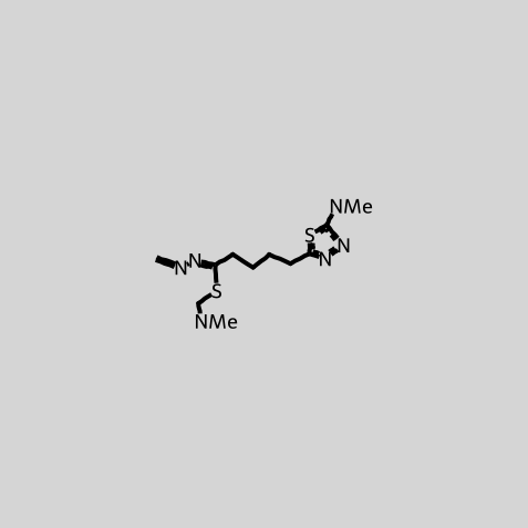 C=N/N=C(/CCCCc1nnc(NC)s1)SCNC